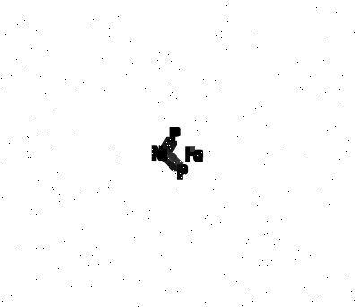 [Fe].[P]#[Ni]#[P]